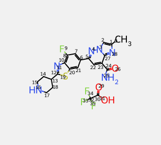 Cc1cn2nc(-c3cc(F)c4nc(C5CCNCC5)sc4c3)cc(C(N)=O)c2n1.O=C(O)C(F)(F)F